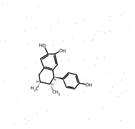 C[C@H]1[C@H](c2ccc(O)cc2)c2cc(O)c(O)cc2C[C@H]1C